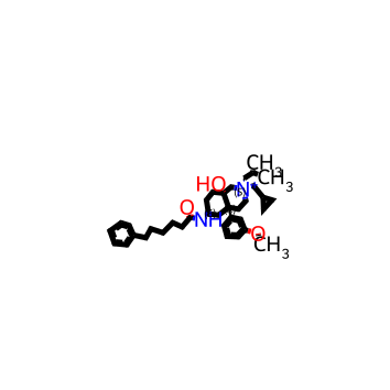 COc1cccc([C@]23CC[N@+](CC(C)C)(CC4CC4)CC2(O)CC[C@H](NC(=O)CCCCCc2ccccc2)C3)c1